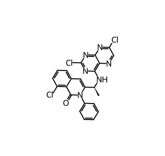 C[C@H](Nc1nc(Cl)nc2nc(Cl)cnc12)c1cc2cccc(Cl)c2c(=O)n1-c1ccccc1